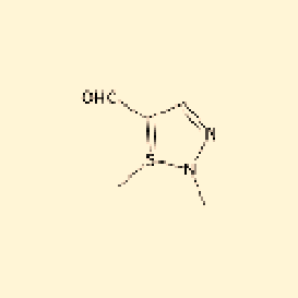 CN1N=CC(C=O)=S1C